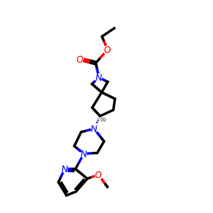 CCOC(=O)N1CC2(CC[C@H](N3CCN(c4ncccc4OC)CC3)C2)C1